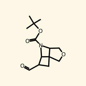 CC(C)(C)OC(=O)N1C2COCC23CC(C=O)C13